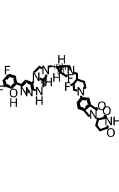 O=C1CCC(N2Cc3ccc(N4CCC(CN5C[C@@H]6[C@H](C5)[C@@H]6CN5CCN6c7cc(-c8cc(F)cc(F)c8O)nnc7NC[C@H]6C5)C(F)(F)C4)cc3C2=O)C(=O)N1